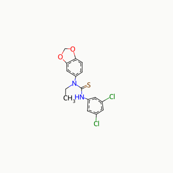 CCN(C(=S)Nc1cc(Cl)cc(Cl)c1)c1ccc2c(c1)OCO2